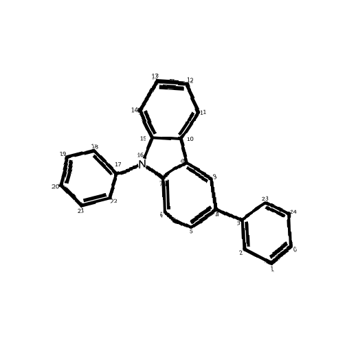 c1ccc(-c2ccc3c(c2)c2ccccc2n3-c2ccccc2)cc1